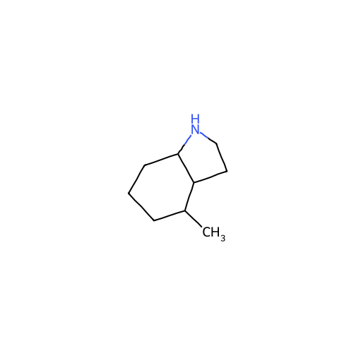 CC1CCCC2NCCC12